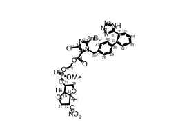 CCCCc1nc(Cl)c(C(=O)OCOP(=O)(OC)O[C@H]2CO[C@H]3[C@H]2OC[C@H]3O[N+](=O)[O-])n1Cc1ccc(-c2ccccc2-c2nnn[nH]2)cc1